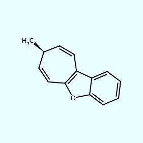 C[C@@H]1C=Cc2oc3ccccc3c2C=C1